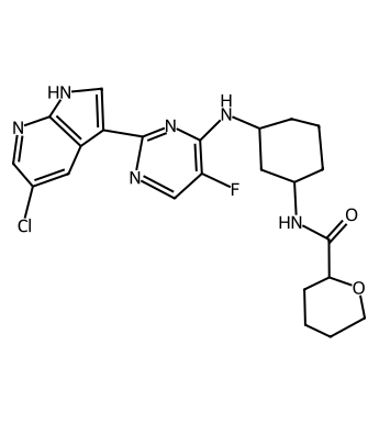 O=C(NC1CCCC(Nc2nc(-c3c[nH]c4ncc(Cl)cc34)ncc2F)C1)C1CCCCO1